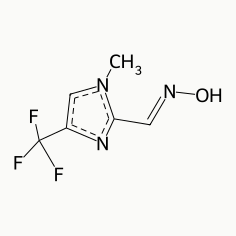 Cn1cc(C(F)(F)F)nc1/C=N/O